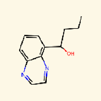 CCCC(O)c1cccc2nccnc12